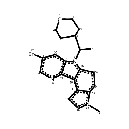 C[C@H](C1CCOCC1)n1c2cc(Br)cnc2c2c3ccn(C)c3ccc21